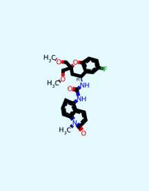 COCC1(COC)C[C@@H](NC(=O)Nc2cccc3c2ccc(=O)n3C)c2cc(F)ccc2O1